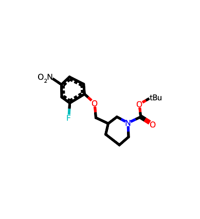 CC(C)(C)OC(=O)N1CCCC(COc2ccc([N+](=O)[O-])cc2F)C1